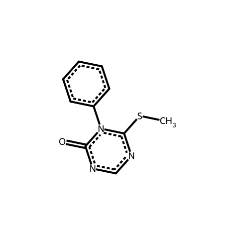 CSc1ncnc(=O)n1-c1ccccc1